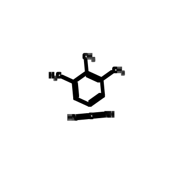 Cc1cccc(C)c1C.N=C=N